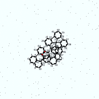 c1ccc(-c2cccc3cccc(-c4ccc(N(c5cccc6c5C5(c7ccccc7-c7ccccc75)c5ccccc5-6)c5cccc6oc7ccc8ccccc8c7c56)cc4)c23)cc1